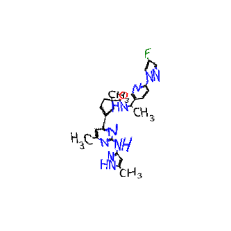 Cc1cc([C@H]2CC[C@](C)(C(=O)N[C@@H](C)c3ccc(-n4cc(F)cn4)nc3)C2)nc(Nc2cc(C)[nH]n2)n1